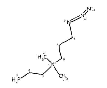 C[N+](C)(CCP)CCCN=[N+]=[N-]